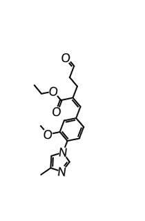 CCOC(=O)/C(=C\c1ccc(-n2cnc(C)c2)c(OC)c1)CCC=O